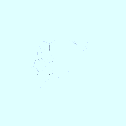 CC(SCC#CC(C)(C)O)C1=CC[C@H]2C3=CC=C4CC(O)CC(O[Si](C)(C)C(C)(C)C)[C@]4(C)[C@H]3CC[C@]12C